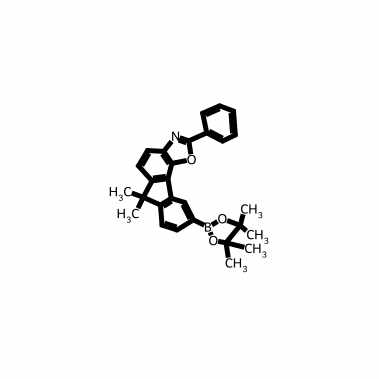 CC1(C)c2ccc(B3OC(C)(C)C(C)(C)O3)cc2-c2c1ccc1nc(-c3ccccc3)oc21